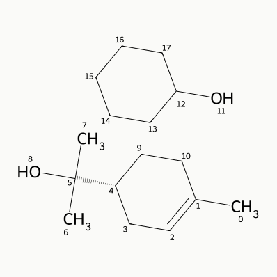 CC1=CC[C@H](C(C)(C)O)CC1.OC1CCCCC1